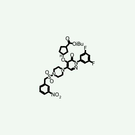 CC(C)COC(=O)C1CC[C@@H](Oc2c(N3CCN(S(=O)(=O)Cc4cccc([N+](=O)[O-])c4)CC3)cnn(-c3cc(F)cc(F)c3)c2=O)C1